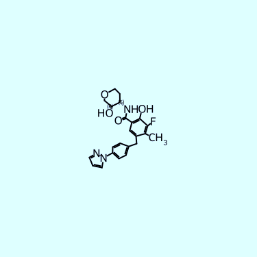 Cc1c(Cc2ccc(-n3cccn3)cc2)cc(C(=O)N[C@H]2CCOC[C@@H]2O)c(O)c1F